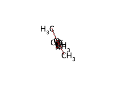 CCCCCCCCCCCCCCCCOc1ccc(OC(CCCCCCCCCCCCCCCC)C(=O)NCc2cccc[n+]2C)cc1Cl.[I-]